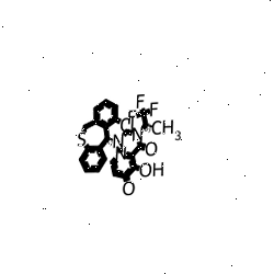 C[C@H](N1CN([C@@H]2c3ccccc3SCc3cccc(Cl)c32)n2ccc(=O)c(O)c2C1=O)C(F)(F)F